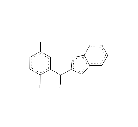 OC(c1cc2ccccc2s1)c1cc(Br)ccc1F